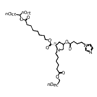 CCCCCCCCCCCOC(=O)CCCCCN1CC(OC(=O)CCCn2ccnc2)C[C@H]1C(=O)OCCCCCCCC(=O)OC(CCCCCCCC)CCCCCCCC